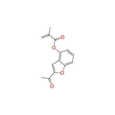 C=C(C)C(=O)Oc1cccc2oc(C(C)=O)cc12